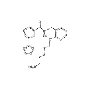 CC(C)N(Cc1ccccc1OCCCCCC(=O)O)C(=O)c1cccc(-c2ccco2)c1